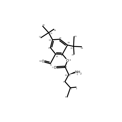 CC(C)C[C@H](N)C(=O)Oc1c(C=O)cc(C(C)(C)C)cc1C(C)(C)C